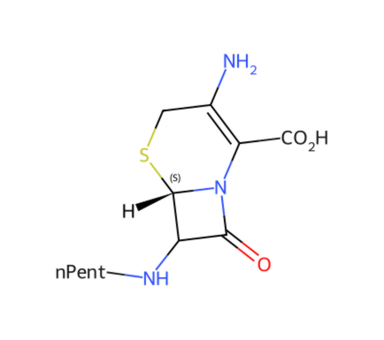 CCCCCNC1C(=O)N2C(C(=O)O)=C(N)CS[C@@H]12